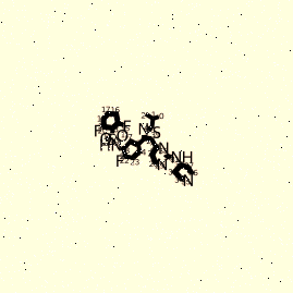 CC(C)c1nc(C2=CC(NS(=O)(=O)c3c(F)cccc3F)C(F)C=C2)c(-c2ccnc(Nc3ccncc3)n2)s1